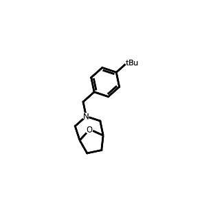 CC(C)(C)c1ccc(CN2CC3CCC(C2)O3)cc1